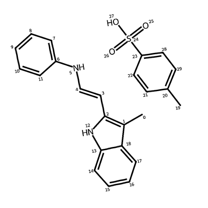 Cc1c(C=CNc2ccccc2)[nH]c2ccccc12.Cc1ccc(S(=O)(=O)O)cc1